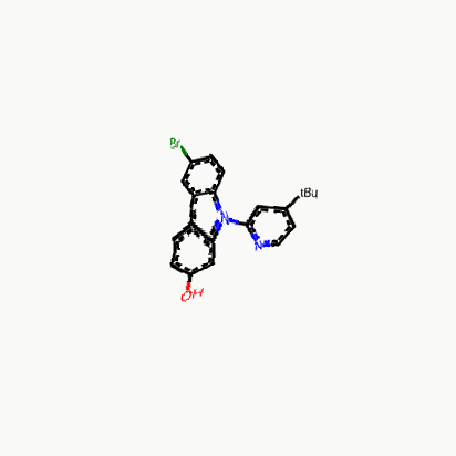 CC(C)(C)c1ccnc(-n2c3ccc(Br)cc3c3ccc(O)cc32)c1